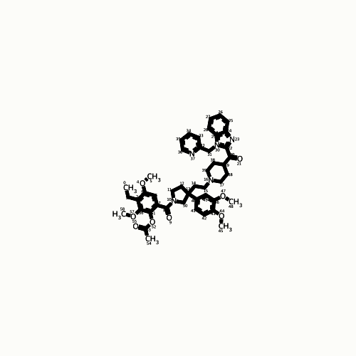 CCc1c(OC)cc(C(=O)N2CCC(CCN3CCC(C(=O)c4nc5ccccc5n4Cc4ccccn4)CC3)(c3ccc(OC)c(OC)c3)C2)c(OC(C)=O)c1OC